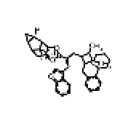 CC1C(C)C(Cc2ccccc2C2CCCCO2)C1C/C(=C/c1coc2ccccc12)B1OC2CC3C4C[C@H]4C(C2O1)C3(C)C